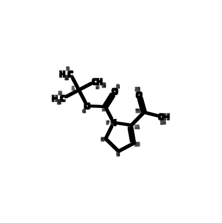 CC(C)(C)OC(=O)N1CCC=C1C(=O)O